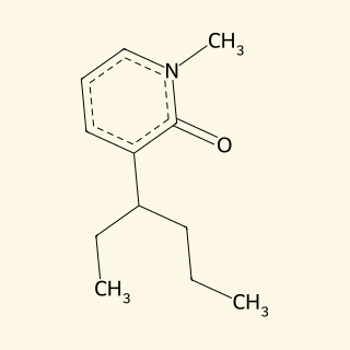 CCCC(CC)c1cccn(C)c1=O